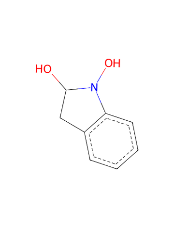 OC1Cc2ccccc2N1O